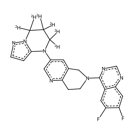 [2H]C1([2H])N(c2cnc3c(c2)CN(c2ncnc4cc(F)c(F)cc24)CC3)c2ccnn2C([2H])([2H])C1([2H])[2H]